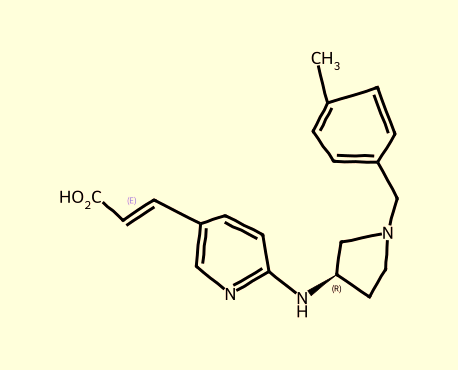 Cc1ccc(CN2CC[C@@H](Nc3ccc(/C=C/C(=O)O)cn3)C2)cc1